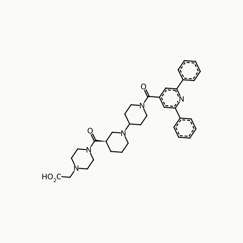 O=C(O)CN1CCN(C(=O)[C@@H]2CCCN(C3CCN(C(=O)c4cc(-c5ccccc5)nc(-c5ccccc5)c4)CC3)C2)CC1